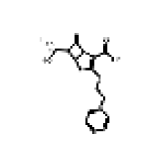 C[C@@H](O)C1C(=O)N2C(C(=O)[O-])=C(SCC[n+]3ccccc3)CC12